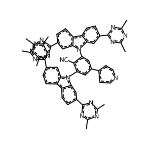 Cc1nc(C)nc(-c2ccc3c4ccc(-c5nc(C)nc(C)n5)cc4n(-c4cc(-c5ccncc5)cc(-n5c6cc(-c7nc(C)nc(C)n7)ccc6c6ccc(-c7nc(C)nc(C)n7)cc65)c4C#N)c3c2)n1